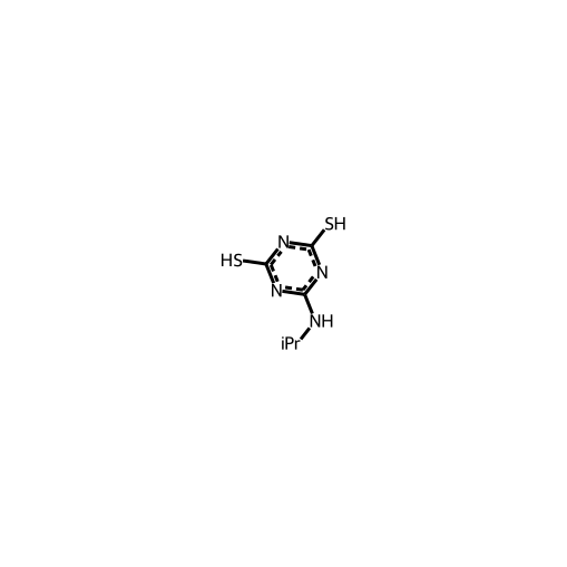 CC(C)Nc1nc(S)nc(S)n1